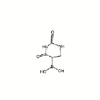 O=C1NCC(B(O)O)C(=O)N1